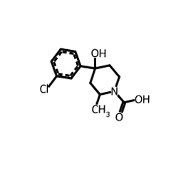 CC1CC(O)(c2cccc(Cl)c2)CCN1C(=O)O